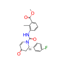 COC(=O)c1cccc(NC(=O)N2C=CC(=O)C[C@H]2c2ccc(F)cc2)c1C